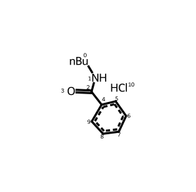 CCCCNC(=O)c1ccccc1.Cl